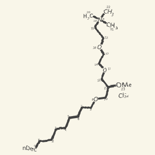 CCCCCCCCCCCCCCCCCCOCC(COCCOCC[N+](C)(C)C)OC.[Cl-]